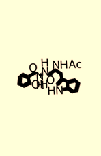 CC(=O)N[C@@H](Cc1c[nH]c2ccccc12)C(=O)NNC(=O)c1ccccc1O